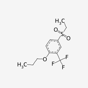 CCCOc1ccc(S(=O)(=O)CC)cc1C(F)(F)F